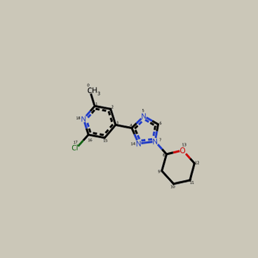 Cc1cc(-c2ncn(C3CCCCO3)n2)cc(Cl)n1